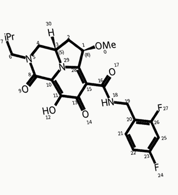 CO[C@@H]1C[C@H]2CN(CC(C)C)C(=O)c3c(O)c(=O)c(C(=O)NCc4ccc(F)cc4F)c1n32